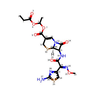 CCC(=O)OC(C)OC(=O)C1=CN2C(=O)C(NC(=O)C(=NOC)c3csc(N)n3)[C@H]2SC1